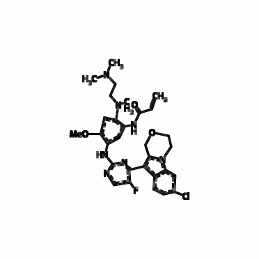 C=CC(=O)Nc1cc(Nc2ncc(F)c(-c3c4n(c5cc(Cl)ccc35)CCOC4)n2)c(OC)cc1N(C)CCN(C)C